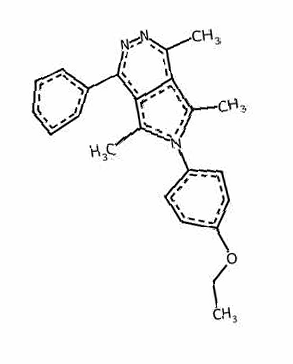 CCOc1ccc(-n2c(C)c3c(C)nnc(-c4ccccc4)c3c2C)cc1